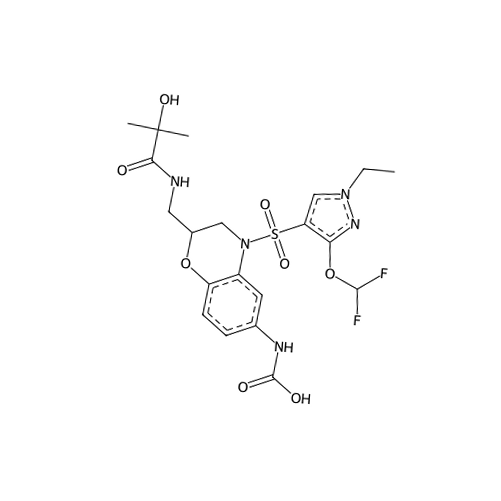 CCn1cc(S(=O)(=O)N2CC(CNC(=O)C(C)(C)O)Oc3ccc(NC(=O)O)cc32)c(OC(F)F)n1